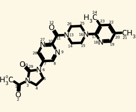 CC(=O)N1CCN(c2cnc(C(=O)N3CCN(c4ncc(C)cc4C)CC3)nc2)C1=O